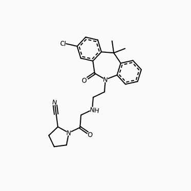 CC1(C)c2ccc(Cl)cc2C(=O)N(CCNCC(=O)N2CCCC2C#N)c2ccccc21